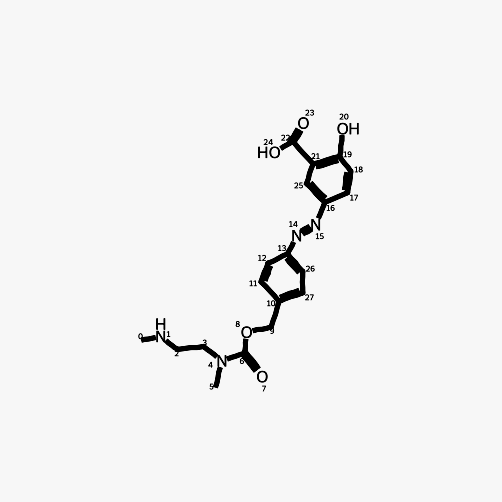 CNCCN(C)C(=O)OCc1ccc(N=Nc2ccc(O)c(C(=O)O)c2)cc1